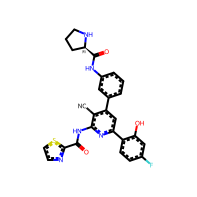 N#Cc1c(-c2cccc(NC(=O)[C@H]3CCCN3)c2)cc(-c2ccc(F)cc2O)nc1NC(=O)c1nccs1